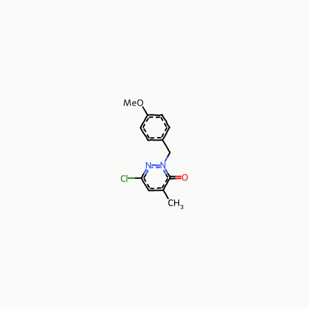 COc1ccc(Cn2nc(Cl)cc(C)c2=O)cc1